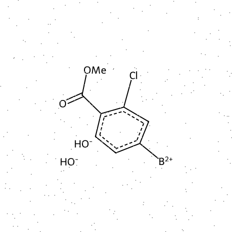 [B+2]c1ccc(C(=O)OC)c(Cl)c1.[OH-].[OH-]